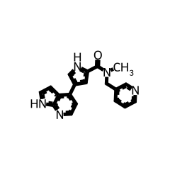 CN(Cc1cccnc1)C(=O)c1cc(-c2ccnc3[nH]ccc23)c[nH]1